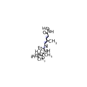 CC\C(=N/C=C(C)/C=C/C(=O)NO)NC(C)(C)C(=O)N[C@@H](C)C(C)C